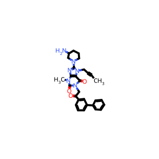 CC#CCn1c(N2CCCC(N)C2)nc2c1c(=O)n(CC(=O)c1cccc(-c3ccccc3)c1)c(=O)n2C